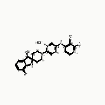 Cl.N[C@@H]1c2cccc(F)c2OC12CCN(c1cnc(Sc3ccnc(Cl)c3Cl)cn1)CC2